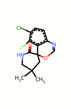 CC1(C)CNC(=O)C2(C1)OC=Nc1ccc(Cl)c(F)c12